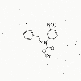 CC(C)OC(=O)N(SCc1ccccc1)c1cccc([N+](=O)[O-])c1